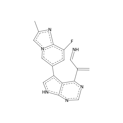 C=C(C=N)c1ncnc2[nH]cc(-c3cc(F)c4nc(C)cn4c3)c12